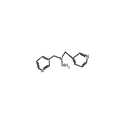 NN(Cc1cccnc1)Cc1cccnc1